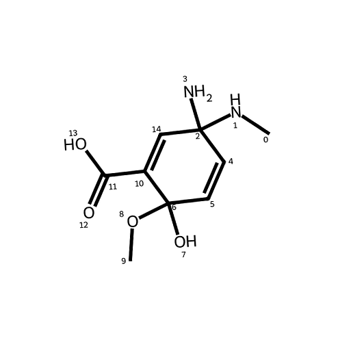 CNC1(N)C=CC(O)(OC)C(C(=O)O)=C1